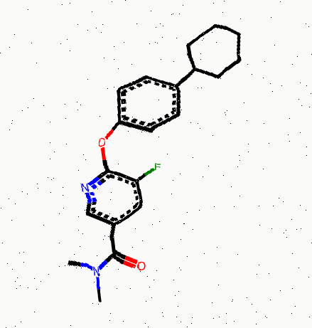 CN(C)C(=O)c1cnc(Oc2ccc(C3CCCCC3)cc2)c(F)c1